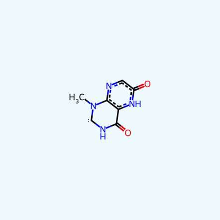 CN1[C]NC(=O)c2[nH]c(=O)cnc21